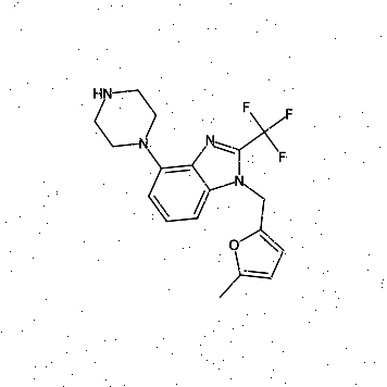 Cc1ccc(Cn2c(C(F)(F)F)nc3c(N4CCNCC4)cccc32)o1